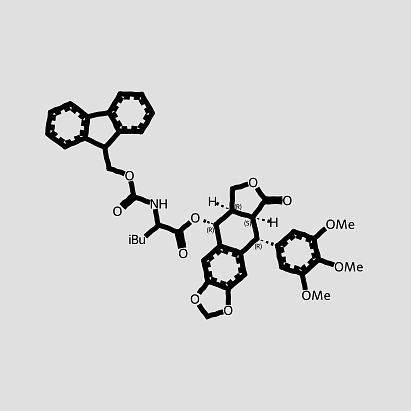 CCC(C)C(NC(=O)OCC1c2ccccc2-c2ccccc21)C(=O)O[C@H]1c2cc3c(cc2[C@@H](c2cc(OC)c(OC)c(OC)c2)[C@@H]2C(=O)OC[C@@H]21)OCO3